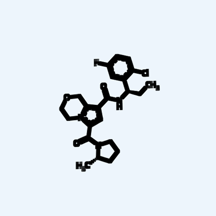 CC[C@@H](NC(=O)c1cc(C(=O)N2CCC[C@@H]2C)n2c1COCC2)c1cc(F)ccc1Cl